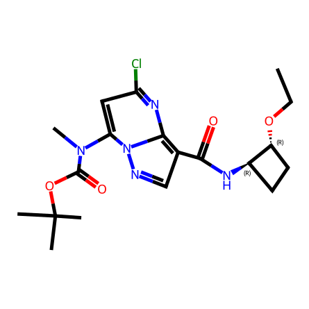 CCO[C@@H]1CC[C@H]1NC(=O)c1cnn2c(N(C)C(=O)OC(C)(C)C)cc(Cl)nc12